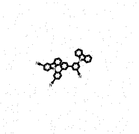 N#Cc1cc(-c2cccc(-c3ccc(C#N)cc3-n3c4ccccc4c4cc(C#N)ccc43)c2)cc(-n2c3ccccc3c3ccccc32)c1